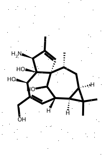 CC1=C[C@]23C(O)[C@@H](C=C(CO)[C@@H](O)[C@]2(O)[C@H]1N)[C@H]1[C@@H](C[C@H]3C)C1(C)C